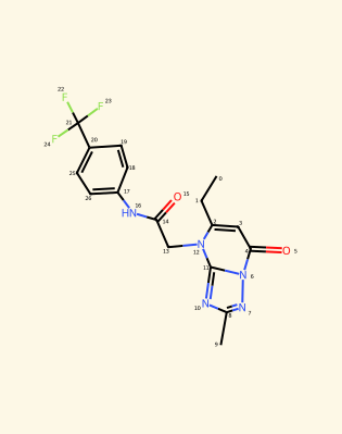 CCc1cc(=O)n2nc(C)nc2n1CC(=O)Nc1ccc(C(F)(F)F)cc1